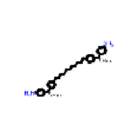 CCCCCCC(c1ccc(N)cc1)c1ccc(CCCCCCCCCCCc2ccc(C(CCCCCC)c3ccc(N)cc3)cc2)cc1